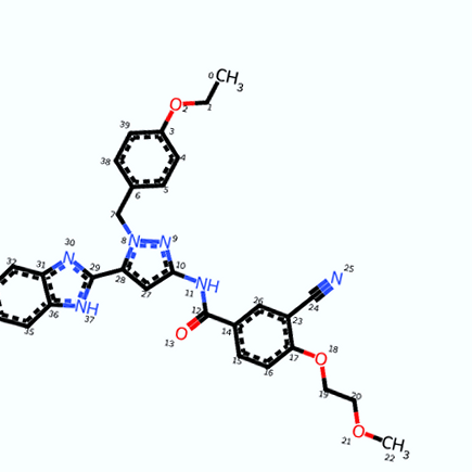 CCOc1ccc(Cn2nc(NC(=O)c3ccc(OCCOC)c(C#N)c3)cc2-c2nc3ccccc3[nH]2)cc1